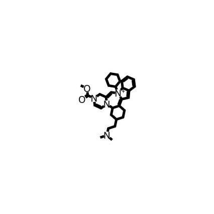 COC(=O)N1C=CN2C(=C[N+]3(C4CCCCC4)C(=C4CCC(CCN(C)C)CC42)C=C2C=CC=CC23)C1